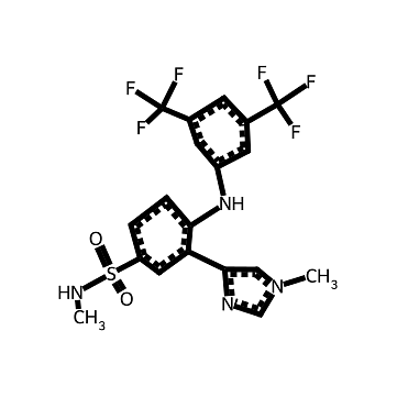 CNS(=O)(=O)c1ccc(Nc2cc(C(F)(F)F)cc(C(F)(F)F)c2)c(-c2cn(C)cn2)c1